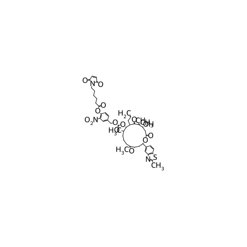 C=CCC1C(=O)C(C)(C)C(O)CC(=O)OC(c2ccc3sc(C)nc3c2)CC2OC2(C)CCCC(C)C1OC(=O)OCc1ccc(OC(=O)CCCCCN2C(=O)C=CC2=O)c([N+](=O)[O-])c1